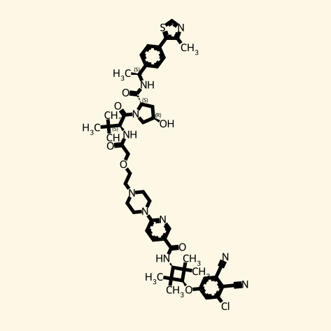 Cc1ncsc1-c1ccc([C@H](C)NC(=O)[C@@H]2C[C@@H](O)CN2C(=O)[C@@H](NC(=O)COCCN2CCN(c3ccc(C(=O)N[C@H]4C(C)(C)[C@H](Oc5cc(Cl)c(C#N)c(C#N)c5)C4(C)C)cn3)CC2)C(C)(C)C)cc1